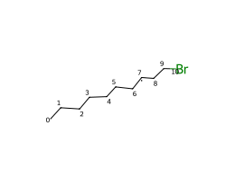 CCCCCCC[CH]CCBr